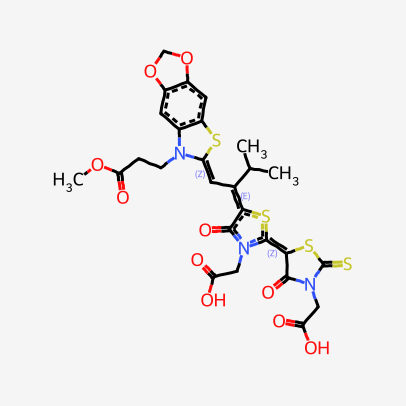 COC(=O)CCN1/C(=C/C(=c2/s/c(=C3\SC(=S)N(CC(=O)O)C3=O)n(CC(=O)O)c2=O)C(C)C)Sc2cc3c(cc21)OCO3